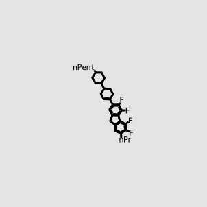 CCCCCC1CCC(C2CC=C(c3cc4c(c(F)c3F)-c3c(cc(CCC)c(F)c3F)C4)CC2)CC1